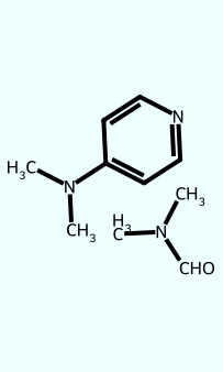 CN(C)C=O.CN(C)c1ccncc1